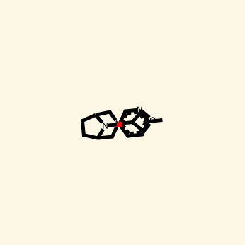 Cc1ccc(N2C3CCC2CN(C2COC2)C3)cn1